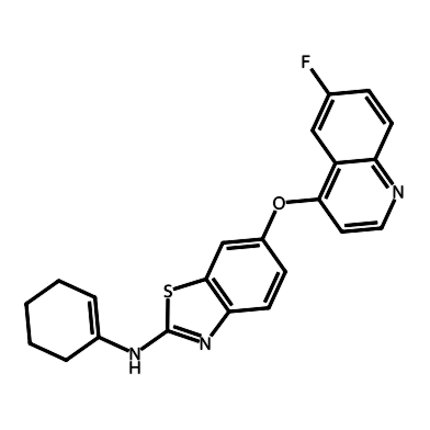 Fc1ccc2nccc(Oc3ccc4nc(NC5=CCCCC5)sc4c3)c2c1